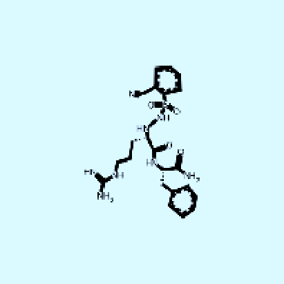 N#Cc1ccccc1S(=O)(=O)NN[C@@H](CCCNC(=N)N)C(=O)N[C@@H](Cc1ccccc1)C(N)=O